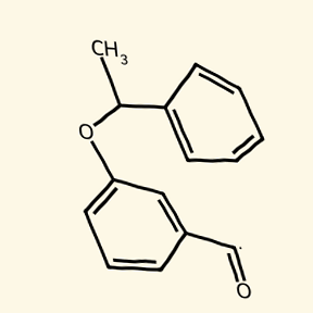 CC(Oc1cccc([C]=O)c1)c1ccccc1